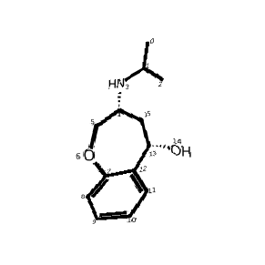 CC(C)N[C@H]1COc2ccccc2[C@@H](O)C1